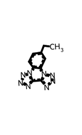 CCc1ccc2c(c1)n1nnnc1c1nnnn21